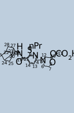 CCCSc1nc(N2CCOC(OC(=O)O)C2)ccc1C(=O)NC1C2CC3CC(C2)CC1C3